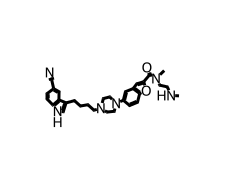 CNCCN(C)C(=O)c1cc2cc(N3CCN(CCCCc4c[nH]c5ccc(C#N)cc45)CC3)ccc2o1